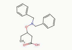 CCC(CC(=O)O)ON(Cc1ccccc1)Cc1ccccc1